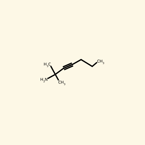 CCCC#CC(C)(C)N